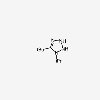 CC(C)N1NNN=C1C(C)(C)C